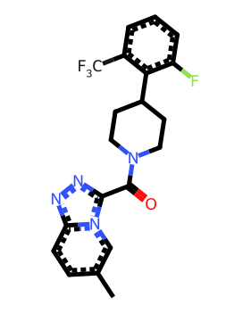 Cc1ccc2nnc(C(=O)N3CCC(c4c(F)cccc4C(F)(F)F)CC3)n2c1